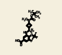 C[C@H](Nc1cc(C(=O)O)cc(F)c1OC(F)(F)F)C1CC(N(C)C(=O)OC(C)(C)C)C1